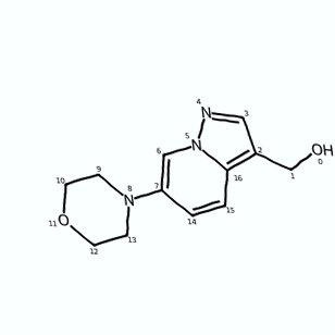 OCc1cnn2cc(N3CCOCC3)ccc12